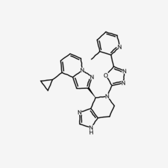 Cc1cccnc1-c1nnc(N2CCc3[nH]cnc3[C@H]2c2cc3c(C4CC4)cccn3n2)o1